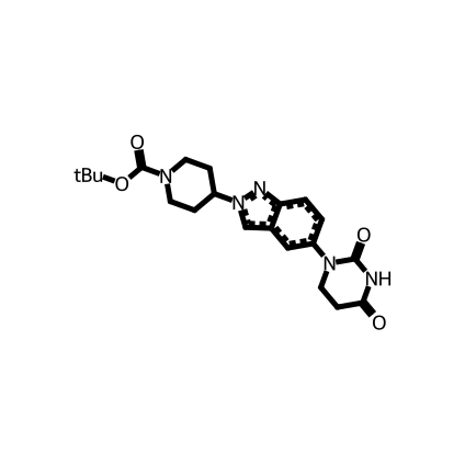 CC(C)(C)OC(=O)N1CCC(n2cc3cc(N4CCC(=O)NC4=O)ccc3n2)CC1